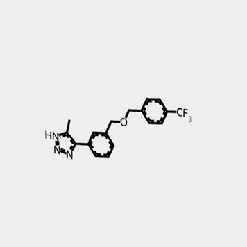 Cc1[nH]nnc1-c1cccc(COCc2ccc(C(F)(F)F)cc2)c1